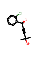 CC(C)(O)C#CC(=O)c1ccccc1Cl